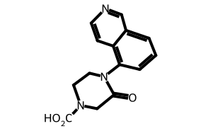 O=C(O)N1CCN(c2cccc3cnccc23)C(=O)C1